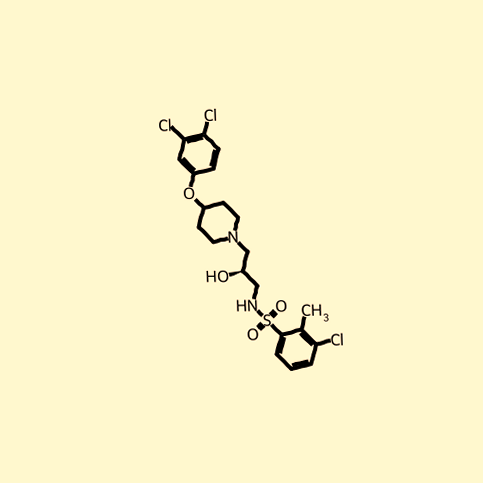 Cc1c(Cl)cccc1S(=O)(=O)NC[C@@H](O)CN1CCC(Oc2ccc(Cl)c(Cl)c2)CC1